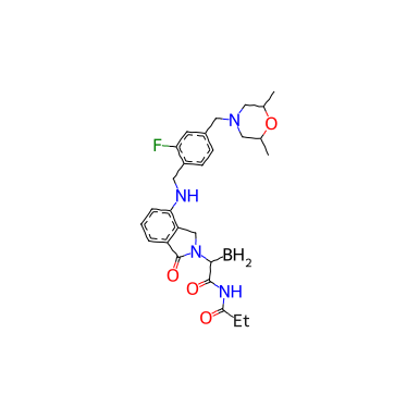 BC(C(=O)NC(=O)CC)N1Cc2c(NCc3ccc(CN4CC(C)OC(C)C4)cc3F)cccc2C1=O